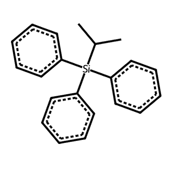 CC(C)[Si](c1ccccc1)(c1ccccc1)c1ccccc1